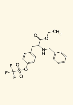 CCOC(=O)C(Cc1ccc(OS(=O)(=O)C(F)(F)F)cc1)NCc1ccccc1